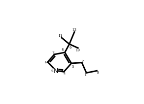 CCCc1cnccc1C(C)(C)C